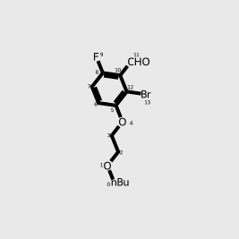 CCCCOCCOc1ccc(F)c(C=O)c1Br